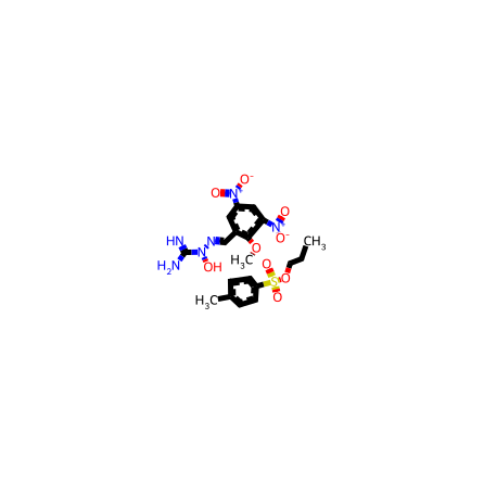 CCCOS(=O)(=O)c1ccc(C)cc1.COc1c(C=NN(O)C(=N)N)cc([N+](=O)[O-])cc1[N+](=O)[O-]